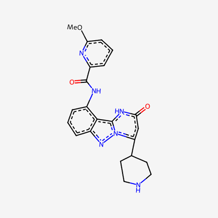 COc1cccc(C(=O)Nc2cccc3nn4c(C5CCNCC5)cc(=O)[nH]c4c23)n1